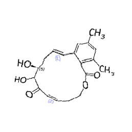 Cc1cc(C)c2c(c1)/C=C/C[C@H](O)C(O)C(=O)/C=C\CCOC2=O